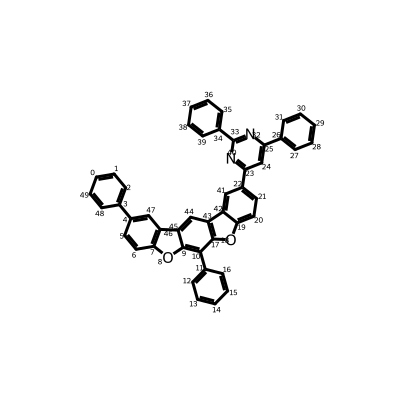 c1ccc(-c2ccc3oc4c(-c5ccccc5)c5oc6ccc(-c7cc(-c8ccccc8)nc(-c8ccccc8)n7)cc6c5cc4c3c2)cc1